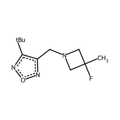 CC1(F)CN(Cc2nonc2C(C)(C)C)C1